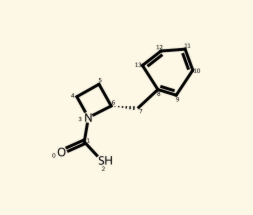 O=C(S)N1CC[C@@H]1Cc1ccccc1